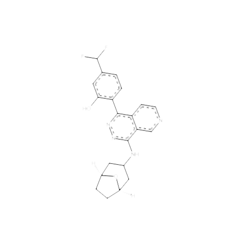 Oc1cc(C(F)F)ccc1-c1nnc(NC2C[C@H]3CC[C@@H](C2)O3)c2cnccc12